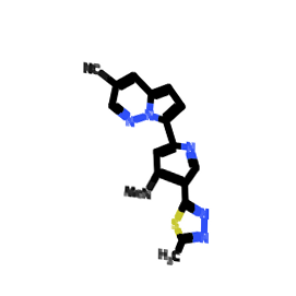 CNc1cc(-c2ccc3cc(C#N)cnn23)ncc1-c1nnc(C)s1